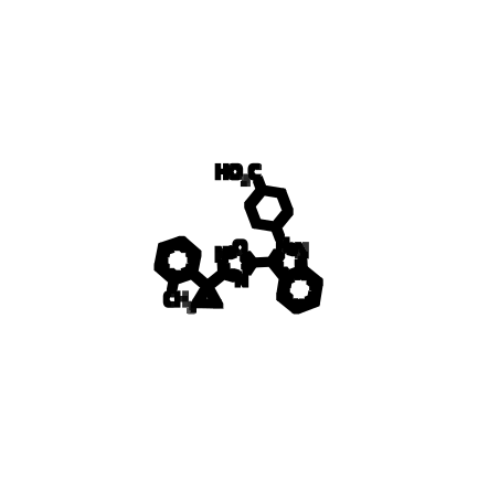 Cc1ccccc1C1(c2noc(-c3c4ccccc4nn3C3CCC(C(=O)O)CC3)n2)CC1